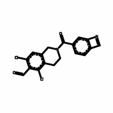 O=Cc1c(Cl)cc2c(c1Cl)CCN(C(=O)c1ccc3c(c1)N=C3)C2